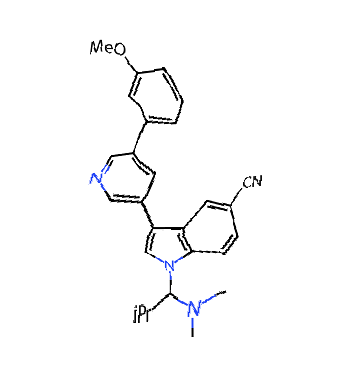 COc1cccc(-c2cncc(-c3cn(C(C(C)C)N(C)C)c4ccc(C#N)cc34)c2)c1